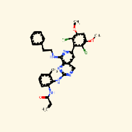 C=CC(=O)Nc1cccc(C)c1Nc1ncc2cc(-c3c(Cl)c(OC)cc(OC)c3Cl)nc(NCCc3ccccc3)c2n1